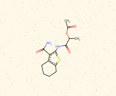 CC(=O)OC(C)C(=O)Nc1sc2c(c1C(N)=O)CCCC2